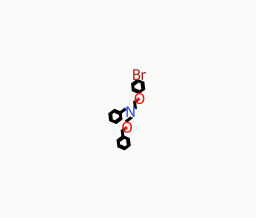 Brc1ccc(OCCN(CCOCc2ccccc2)Cc2ccccc2)cc1